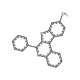 Cc1ccc2c(c1)sc1c(-c3ccccc3)nc3ccccc3c12